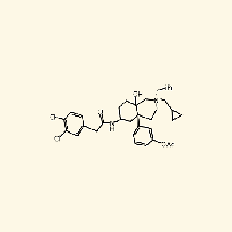 CC(=O)Oc1cccc([C@]23CC[N@+](CC(C)C)(CC4CC4)CC2(O)CC[C@H](NC(=O)Cc2ccc(Cl)c(Cl)c2)C3)c1